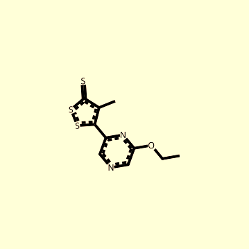 CCOc1cncc(-c2ssc(=S)c2C)n1